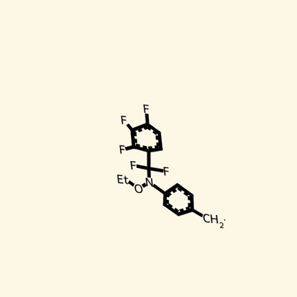 [CH2]c1ccc(N(OCC)C(F)(F)c2ccc(F)c(F)c2F)cc1